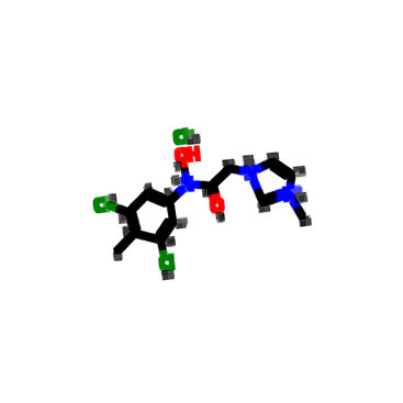 Cc1c(Cl)cc(N(O)C(=O)Cn2cc[n+](C)c2)cc1Cl.[Cl-]